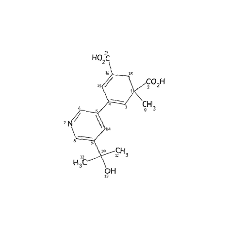 CC1(C(=O)O)C=C(c2cncc(C(C)(C)O)c2)C=C(C(=O)O)C1